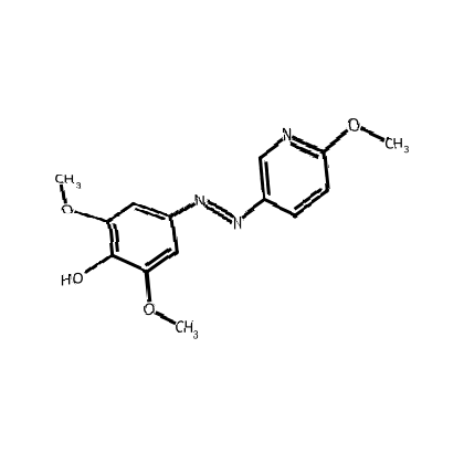 COc1ccc(N=Nc2cc(OC)c(O)c(OC)c2)cn1